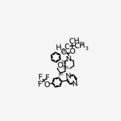 CC(C)(C)OC(=O)N1CCC[C@@]2(C[C@H](c3cc(OC(F)(F)F)ccc3-c3cnccn3)CO2)[C@@H]1c1ccccc1